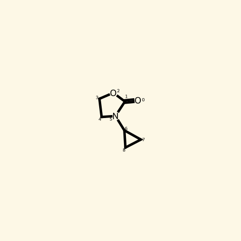 O=C1OCCN1C1CC1